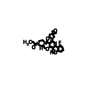 C=CC(=O)N1CCN2C(=O)c3c(N4CCC5(COC5)C4)nc(-c4c(O)cccc4F)c(Cl)c3OC[C@H]2C1